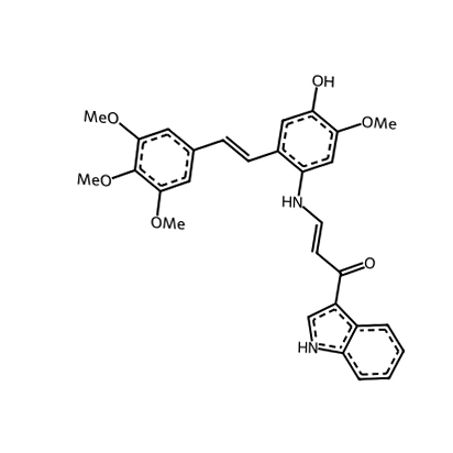 COc1cc(NC=CC(=O)c2c[nH]c3ccccc23)c(C=Cc2cc(OC)c(OC)c(OC)c2)cc1O